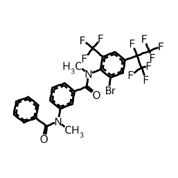 CN(C(=O)c1ccccc1)c1cccc(C(=O)N(C)c2c(Br)cc(C(F)(C(F)(F)F)C(F)(F)F)cc2C(F)(F)F)c1